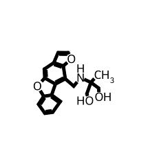 CC(CO)(CO)NCc1c2occc2cc2oc3ccccc3c12